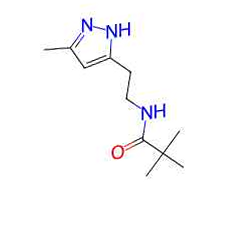 Cc1cc(CCNC(=O)C(C)(C)C)[nH]n1